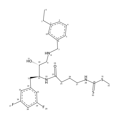 CCc1cccc(CNC[C@@H](O)[C@H](Cc2cc(F)cc(F)c2)NC(=O)CCCNC(=S)SC)c1